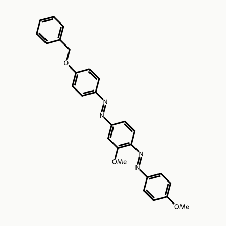 COc1ccc(N=Nc2ccc(N=Nc3ccc(OCc4ccccc4)cc3)cc2OC)cc1